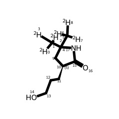 [2H]C([2H])([2H])C1(C([2H])([2H])[2H])C[C@H](CCCO)C(=O)N1